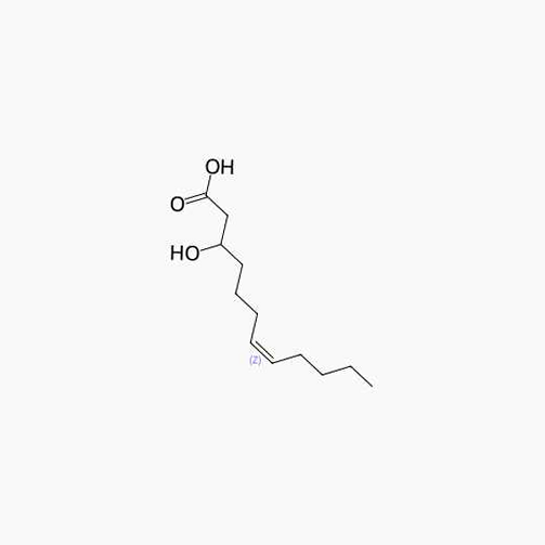 CCCC/C=C\CCCC(O)CC(=O)O